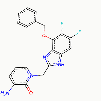 Nc1cccn(Cc2nc3c(OCc4ccccc4)c(F)c(F)cc3[nH]2)c1=O